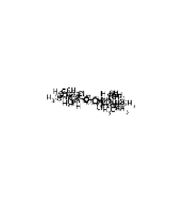 COC(=O)N[C@H](C(=O)N1CCC[C@H]1c1nc(Cl)c(-c2ccc(-c3ccc(-c4[nH]c([C@@H]5C[Si](C)(C)CN5C(=O)[C@@H](NC(=O)OC)C(C)C)nc4Cl)cc3)cc2)[nH]1)C(C)C